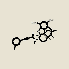 COc1cc(OC(C)=O)c2c3c1O[C@H]1[C@H](N(C)C(=O)C#Cc4cccc(C)c4)CC[C@H]4[C@@H](C2)N(C)CC[C@@]341